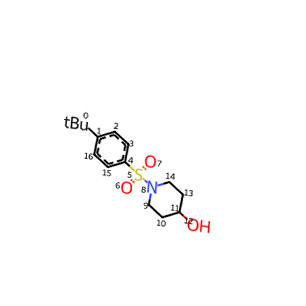 CC(C)(C)c1ccc(S(=O)(=O)N2CCC(O)CC2)cc1